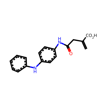 C=C(CC(=O)Nc1ccc(Nc2ccccc2)cc1)C(=O)O